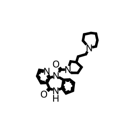 O=C1Nc2ccccc2N(C(=O)N2CCCC(CCN3CCCCCC3)C2)c2ncccc21